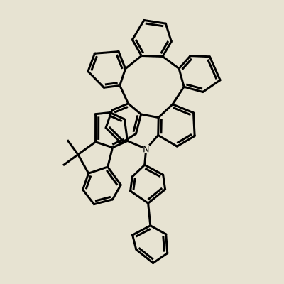 CC1(C)c2ccccc2-c2c(N(c3ccc(-c4ccccc4)cc3)c3cccc4c5ccccc5c5ccccc5c5ccccc5c5ccccc5c34)cccc21